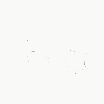 Cc1cc2nn[nH]c2cc1C(F)(F)F